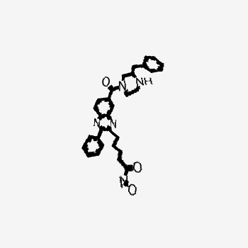 O=NC(=O)CCCCc1nc2cc(C(=O)N3CCNC(Cc4ccccc4)C3)ccc2nc1-c1ccccc1